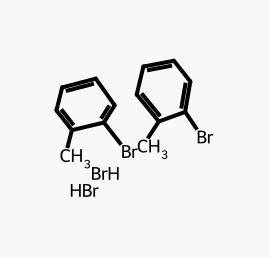 Br.Br.Cc1ccccc1Br.Cc1ccccc1Br